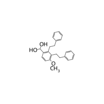 COc1ccc(C(O)O)c(CCc2ccccc2)c1CCc1ccccc1